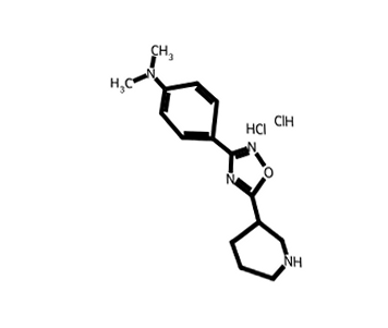 CN(C)c1ccc(-c2noc(C3CCCNC3)n2)cc1.Cl.Cl